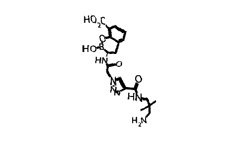 CC(C)(CN)CNC(=O)c1cn(CC(=O)N[C@H]2Cc3cccc(C(=O)O)c3OB2O)nn1